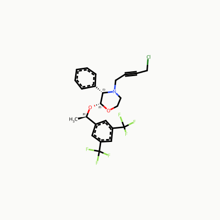 C[C@@H](O[C@H]1OCCN(CC#CCCl)[C@H]1c1ccccc1)c1cc(C(F)(F)F)cc(C(F)(F)F)c1